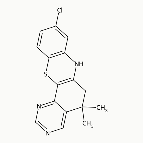 CC1(C)CC2=C(Sc3ccc(Cl)cc3N2)c2ncncc21